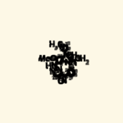 C=CC(=O)Nc1cc(Nc2ncc3onc(-c4cccc(F)c4)c3n2)c(OC)cc1N(C)C1CCN(C)C1